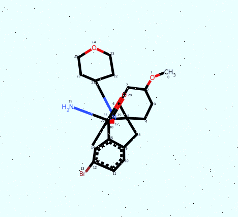 COC1CCC2(CC1)Cc1ccc(Br)cc1C21N=C(N)N(C2CCOCC2)C1=O